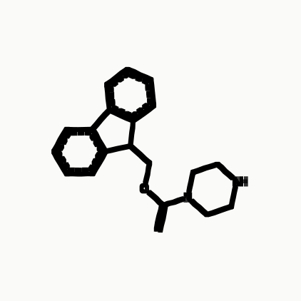 C=C(OCC1c2ccccc2-c2ccccc21)N1CCNCC1